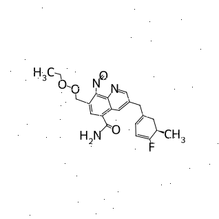 CCOOCc1cc(C(N)=O)c2cc(CC3=CC=C(F)[C@H](C)C3)cnc2c1N=O